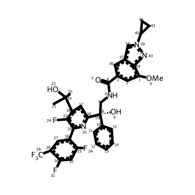 COc1cc(C(=O)NC[C@@](O)(c2ccccc2)c2cc(C(C)(C)O)c(F)c(-c3cc(C(F)(F)F)c(F)cc3F)n2)cc2cn(C3CC3)nc12